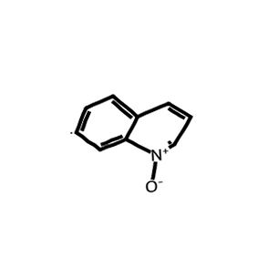 [O-][n+]1cccc2cc[c]cc21